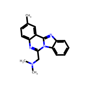 Cc1ccc2nc(CN(C)C)n3c4ccccc4nc3c2c1